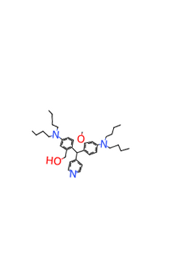 CCCCN(CCCC)c1ccc(C(c2ccncc2)c2ccc(N(CCCC)CCCC)cc2OC)c(CO)c1